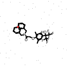 Cc1cc(C(O)(C(F)(F)F)C(F)(F)F)cc(C)c1OCC(=O)N(Cc1ccccc1)Cc1ccccc1